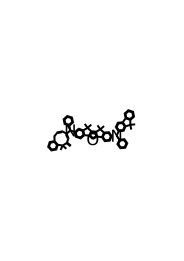 C=C1/C=C(N(c2ccccc2)c2ccc3c(c2)C(C)(C)c2c-3oc3c2C(C)(C)c2cc(N(c4ccccc4)c4ccc5c(c4)C(C)(C)c4ccccc4-5)ccc2-3)\C=C/Cc2ccccc2C1(C)C